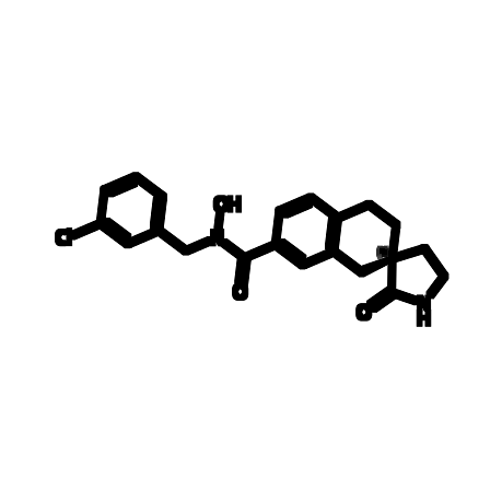 O=C(c1ccc2c(c1)C[C@]1(CCNC1=O)CC2)N(O)Cc1cccc(Cl)c1